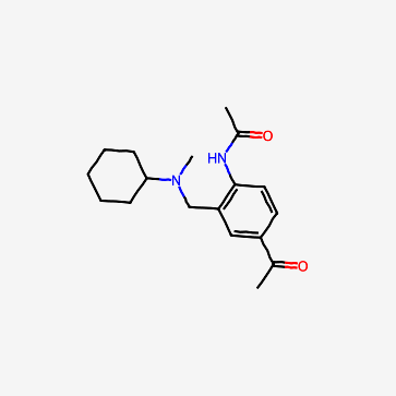 CC(=O)Nc1ccc(C(C)=O)cc1CN(C)C1CCCCC1